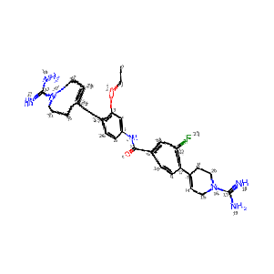 CCOc1cc(NC(=O)c2ccc(C3=CCN(C(=N)N)CC3)c(F)c2)ccc1C1=CCN(C(=N)N)CC1